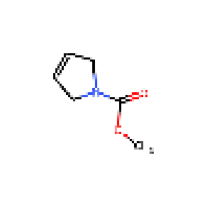 COC(=O)N1CC=CC1